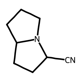 N#CC1CCC2CCCN12